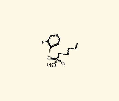 CCCCCS(=O)(=O)O.Fc1ccccc1I